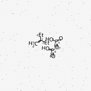 C=C(CC)CC.O=[PH](O)O[PH](=O)O